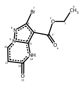 CCOC(=O)c1c(Br)nn2ccc(=O)[nH]c12